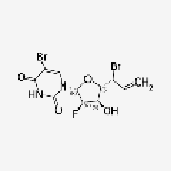 C=CC(Br)[C@H]1O[C@@H](n2cc(Br)c(=O)[nH]c2=O)[C@H](F)[C@@H]1O